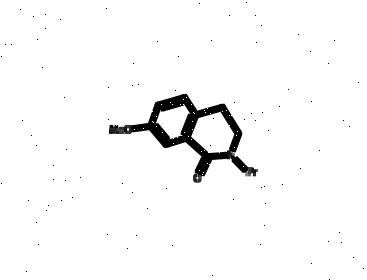 COc1ccc2c(c1)C(=O)N(C(C)C)CC2